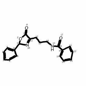 O=C1OC(c2ccccc2)N=C1CCCNC(=O)c1ccccc1